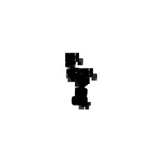 CC(C)S(=O)(=O)c1ccc(-c2cnc(N)c(-c3nnc(N4CC(N)C4)o3)n2)cc1